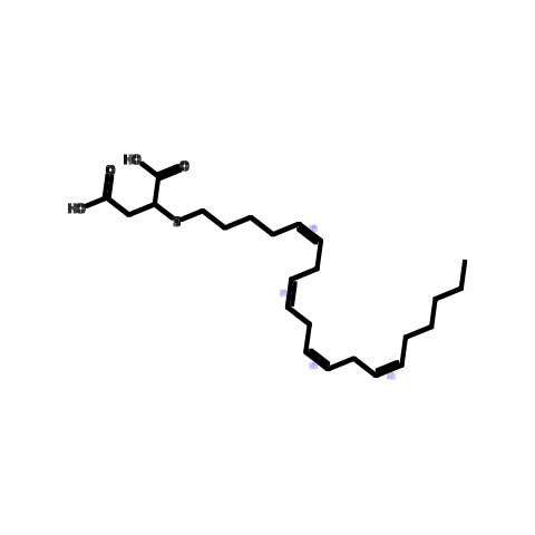 CCCCC/C=C\C/C=C\C/C=C\C/C=C\CCCCSC(CC(=O)O)C(=O)O